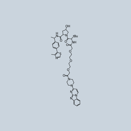 Cc1ncsc1-c1ccc(C(C)NC(=O)C2CC(O)CN2C(=O)C(NC(=O)COCCOCCOCC(=O)N2CCN(c3ccn4c(n3)nc3ccccc34)CC2)C(C)(C)C)cc1